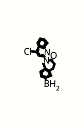 Bc1ccc2c(c1)CCC(=O)N(c1cc(Cl)c3ccccc3n1)C2